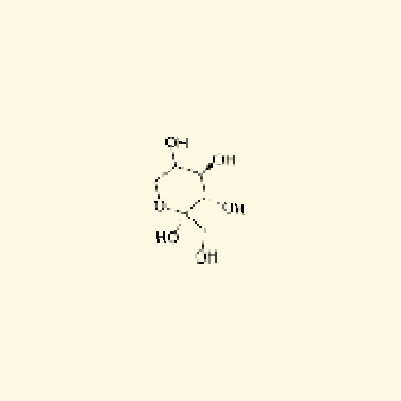 OC[C@@]1(O)OCC(O)[C@@H](O)[C@@H]1O